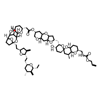 C=CCOC(=O)NC[C@@H]1CC[C@@H]2O[C@]3(CC[C@H](O)[C@H](C[C@H]4CC5OC6C[C@@H](OC(=O)C[C@H]7CC[C@@H]8OC9C(OC)[C@@H](O[C@@]%10(CC[C@H]%11CC(=C)[C@H](CC[C@H]%12C[C@@H](C)C(=C)[C@@H](CC)O%12)O%11)CC[C@@H]9O%10)[C@H]8O7)CO[C@H]6C[C@H]5O4)O3)C[C@H](C)[C@@H]2O1